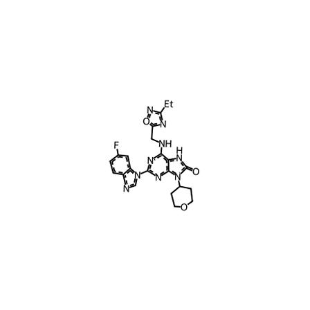 CCc1noc(CNc2nc(-n3cnc4ccc(F)cc43)nc3c2[nH]c(=O)n3C2CCOCC2)n1